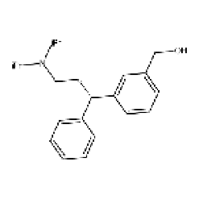 CC(C)N(CC[C@H](c1[c]ccc(CO)c1)c1ccccc1)C(C)C